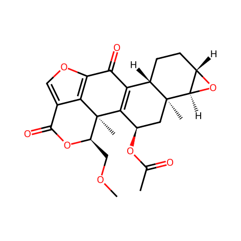 COC[C@H]1OC(=O)c2coc3c2[C@@]1(C)C1=C(C3=O)[C@@H]2CC[C@@H]3O[C@H]3[C@@]2(C)C[C@H]1OC(C)=O